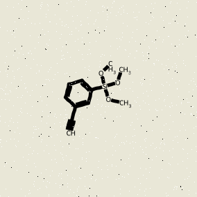 C#Cc1cccc([Si](OC)(OC)OC)c1